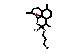 CC1CCC2C(C)C(OCCCBr)(C(F)(F)F)OC3OC4(C)CCC1C32OO4